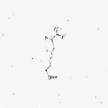 COCCCCC(I)CC(F)C(F)F